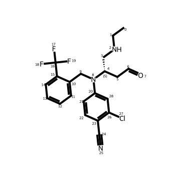 CCNC[C@H](CC=O)N(Cc1ccccc1C(F)(F)F)c1ccc(C#N)c(Cl)c1